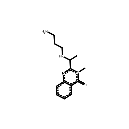 CC(NCCCN)c1nc2ccccc2c(=O)n1C